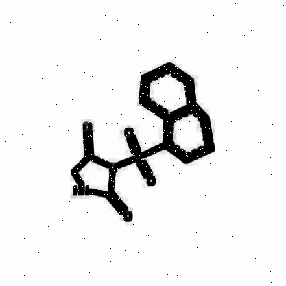 O=C1CNC(=O)N1S(=O)(=O)c1cccc2ccccc12